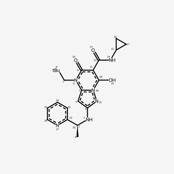 C[C@H](Nc1cc2n(CC(C)(C)C)c(=O)c(C(=O)NC3CC3)c(O)n2n1)c1ccccn1